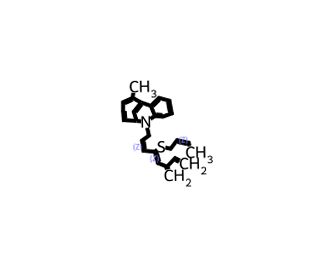 C=CC(=C)/C=C(/C=C\CN1c2ccccc2C2=CC1C=CC=C2C)SC/C=C\C